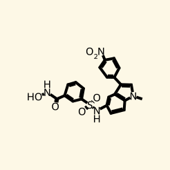 Cn1cc(-c2ccc([N+](=O)[O-])cc2)c2cc(NS(=O)(=O)c3cccc(C(=O)NO)c3)ccc21